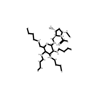 CCCCOCC1OC(OC[C@H]2[C@H](O)C[C@H](CC)N2C(C)=O)[C@@H](OCCCC)C(OCCCC)C1OCCCC